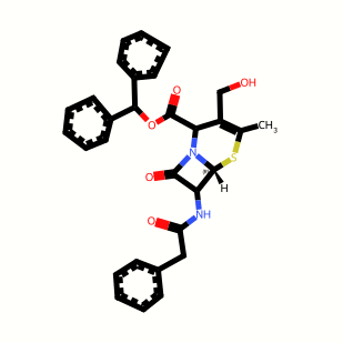 CC1=C(CO)C(C(=O)OC(c2ccccc2)c2ccccc2)N2C(=O)C(NC(=O)Cc3ccccc3)[C@H]2S1